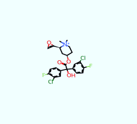 C[N+]1(C)CC[C@@H](OC(=O)C(O)(c2ccc(F)c(Cl)c2)c2ccc(F)c(Cl)c2)C[C@H]1C1=CO1